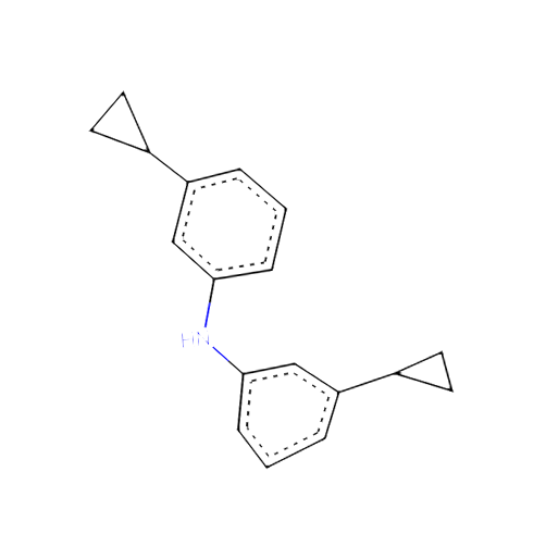 c1cc(Nc2cccc(C3CC3)c2)cc(C2CC2)c1